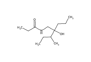 CCCC(O)(CNC(=O)CC)C(C)CC